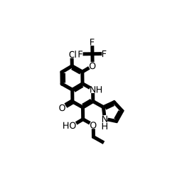 CCOC(O)c1c(-c2ccc[nH]2)[nH]c2c(OC(F)(F)F)c(Cl)ccc2c1=O